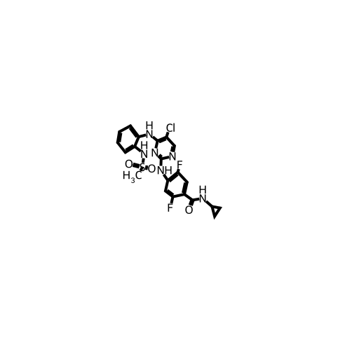 CS(=O)(=O)Nc1ccccc1Nc1nc(Nc2cc(F)c(C(=O)NC3CC3)cc2F)ncc1Cl